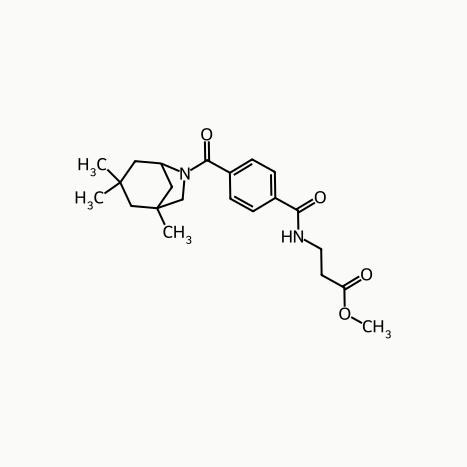 COC(=O)CCNC(=O)c1ccc(C(=O)N2CC3(C)CC2CC(C)(C)C3)cc1